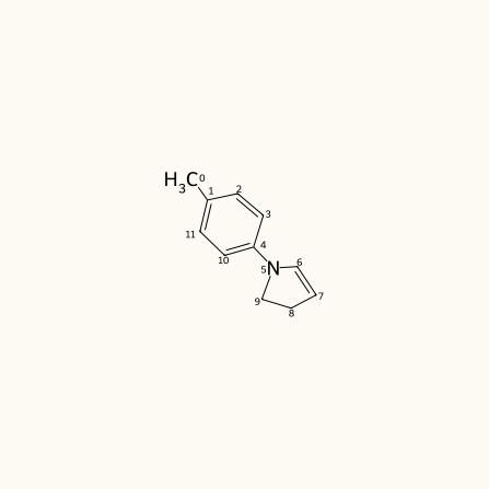 Cc1ccc(N2C=CCC2)cc1